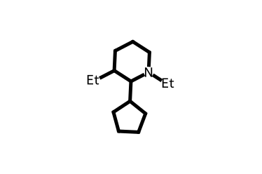 CCC1CCCN(CC)C1C1CCCC1